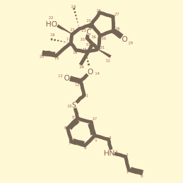 C=CCNCc1cccc(SCC(=O)O[C@@H]2C[C@@](C)(C=C)[C@@H](O)[C@H](C)C34CCC(=O)C3[C@@]2(C)C(C)CC4)c1